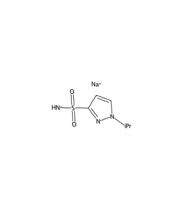 CC(C)n1ccc(S([NH-])(=O)=O)n1.[Na+]